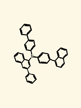 c1ccc(-c2ccc(N(c3ccc(-c4cccc5ccccc45)cc3)c3cc(-c4ccccc4)cc4ccccc34)cc2)cc1